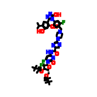 CC(C)c1cc(-c2nnc(O)n2-c2ccc(CN3CCN(c4cnc(C(=O)Nc5ccn([C@@H]6O[C@H](CO[Si](C)(C)C(C)(C)C)C(O[Si](C)(C)C(C)(C)C)C6(F)F)c(=O)n5)cn4)CC3)c(F)c2)c(O)cc1O